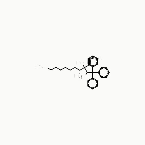 CCCCC=CC(O)(C(O)C(c1ccccc1)(c1ccccc1)c1ccccc1)[C@H](O)CCCCCCCCCCCCCCCC